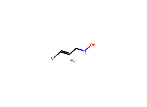 Cl.ONCC=CCl